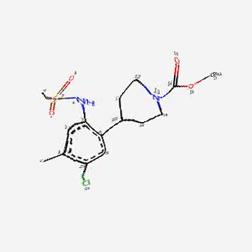 Cc1cc(NS(C)(=O)=O)c(C2CCN(C(=O)OC(C)(C)C)CC2)cc1Cl